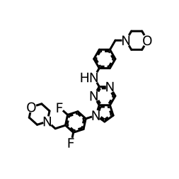 Fc1cc(-n2ccc3cnc(Nc4ccc(CN5CCOCC5)cc4)nc32)cc(F)c1CN1CCOCC1